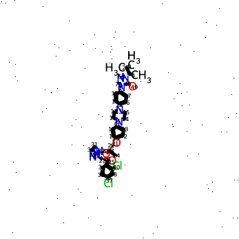 CC(C)C(C)n1ncn(-c2ccc(N3CCN(c4ccc(OC[C@@H]5CO[C@@](Cn6nccn6)(c6ccc(Cl)cc6Cl)O5)cc4)CC3)cc2)c1=O